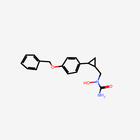 NC(=O)N(O)CC1CC1c1ccc(OCc2ccccc2)cc1